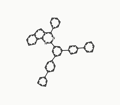 c1ccc(-c2ccc(-c3cc(-c4ccc(-c5ccccc5)cc4)cc(-c4nc(-c5ccccc5)c5ccc6ccccc6c5n4)c3)cc2)cc1